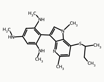 CCC(C)Sc1cc(C)nc2c(-c3c(NC)cc(NC)cc3NC)cn(C)c12